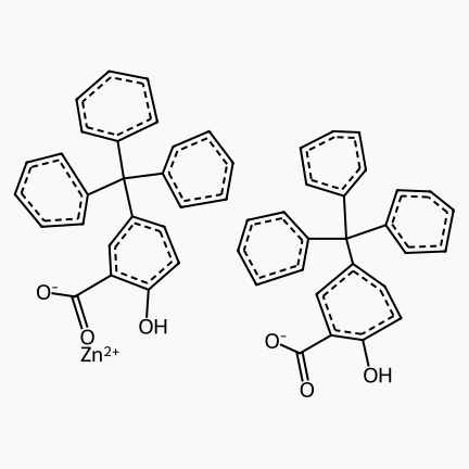 O=C([O-])c1cc(C(c2ccccc2)(c2ccccc2)c2ccccc2)ccc1O.O=C([O-])c1cc(C(c2ccccc2)(c2ccccc2)c2ccccc2)ccc1O.[Zn+2]